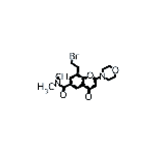 CN(C)C(=O)c1cc(CCBr)c2oc(N3CCOCC3)cc(=O)c2c1